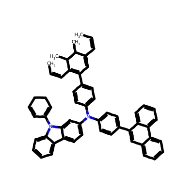 C/C=C\C1=CC(c2ccc(N(c3ccc(-c4cc5ccccc5c5ccccc45)cc3)c3ccc4c5ccccc5n(C5=CCCC=C5)c4c3)cc2)=C(/C=C\C)C(C)C1C